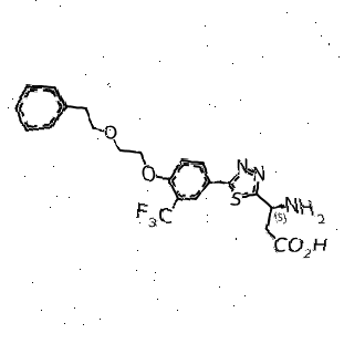 N[C@@H](CC(=O)O)c1nnc(-c2ccc(OCCOCCc3ccccc3)c(C(F)(F)F)c2)s1